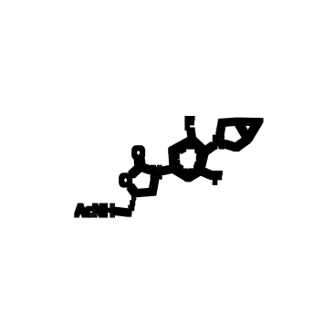 CC(=O)NC[C@H]1CN(c2cc(F)c(N3CC4CC4C3)c(F)c2)C(=O)O1